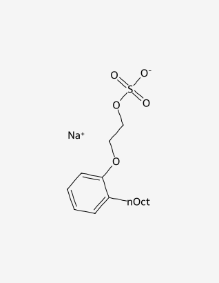 CCCCCCCCc1ccccc1OCCOS(=O)(=O)[O-].[Na+]